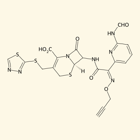 C#CCO/N=C(\C(=O)NC1C(=O)N2C(C(=O)O)=C(CSc3nncs3)CS[C@H]12)c1cccc(NC=O)n1